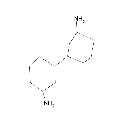 NC1CCCC(C2CCCC(N)C2)C1